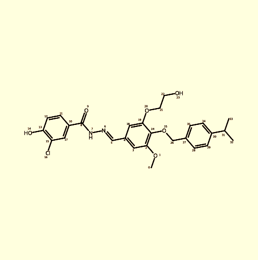 COc1cc(/C=N/NC(=O)c2ccc(O)c(Cl)c2)cc(OCCO)c1OCc1ccc(C(C)C)cc1